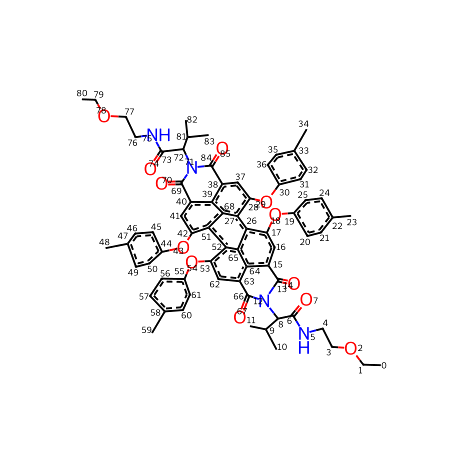 CCOCCNC(=O)C(C(C)C)N1C(=O)c2cc(Oc3ccc(C)cc3)c3c4c(Oc5ccc(C)cc5)cc5c6c(cc(Oc7ccc(C)cc7)c(c7c(Oc8ccc(C)cc8)cc(c2c37)C1=O)c64)C(=O)N(C(C(=O)NCCOCC)C(C)C)C5=O